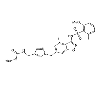 COc1cccc(C)c1S(=O)(=O)Nc1noc2cc(Cn3cc(CNC(=O)OC(C)(C)C)cn3)cc(C)c12